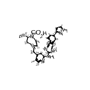 Cn1ccc(-c2ccc3nc(Nc4cc(CN5CCN(C(=O)O)C(C(C)(C)C)C5)ccn4)[nH]c3c2)n1